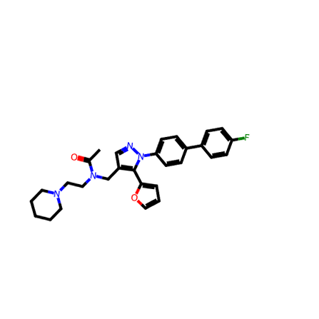 CC(=O)N(CCN1CCCCC1)Cc1cnn(-c2ccc(-c3ccc(F)cc3)cc2)c1-c1ccco1